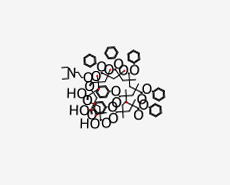 CCN(CC)CCOC(=O)C(C)(CC(C)(CC(C)(CC(C)(C)C(=O)O)C(=O)O)C(=O)O)CC(C)(CC(C)(CC(C)(CC(C)(CC(C)(CC(C)(CC(C)(CC)C(=O)Oc1ccccc1)C(=O)Oc1ccccc1)C(=O)Oc1ccccc1)C(=O)Oc1ccccc1)C(=O)Oc1ccccc1)C(=O)Oc1ccccc1)C(=O)Oc1ccccc1